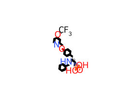 O=P(O)(O)/C=C/[C@@H](Cc1ccc(OCc2cc(OCC(F)(F)F)ccn2)cc1)NCc1ccccc1